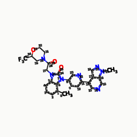 Cc1cccc2c1n(-c1ccc(-c3cncc4c3cnn4C)nc1)c(=O)n2CC(=O)N1CCOC(C(F)(F)F)C1